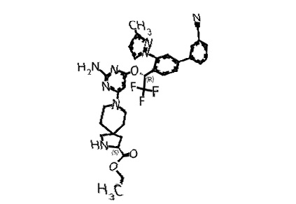 CCOC(=O)[C@@H]1CC2(CCN(c3cc(O[C@H](c4ccc(-c5cccc(C#N)c5)cc4-n4ccc(C)n4)C(F)(F)F)nc(N)n3)CC2)CN1